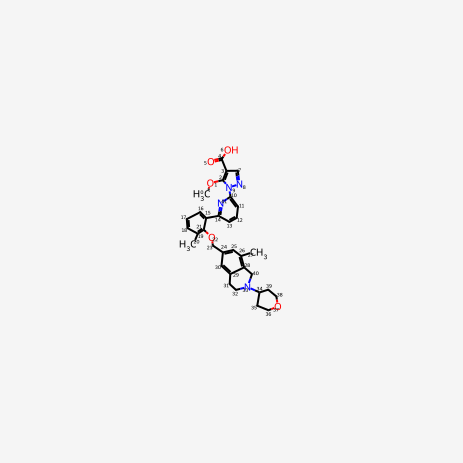 COc1c(C(=O)O)cnn1-c1cccc(-c2cccc(C)c2OCc2cc(C)c3c(c2)CCN(C2CCOCC2)C3)n1